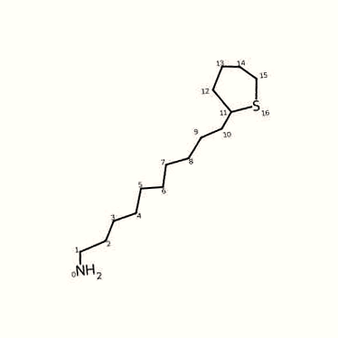 NCCCCCCCCCCC1CCCCS1